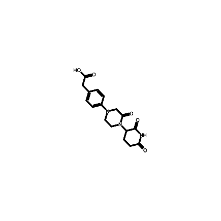 O=C(O)Cc1ccc(N2CCN(C3CCC(=O)NC3=O)C(=O)C2)cc1